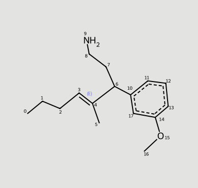 CCC/C=C(\C)C(CCN)c1cccc(OC)c1